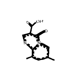 Cc1cc(C)c2ncc(C(=O)O)c(=O)n2c1